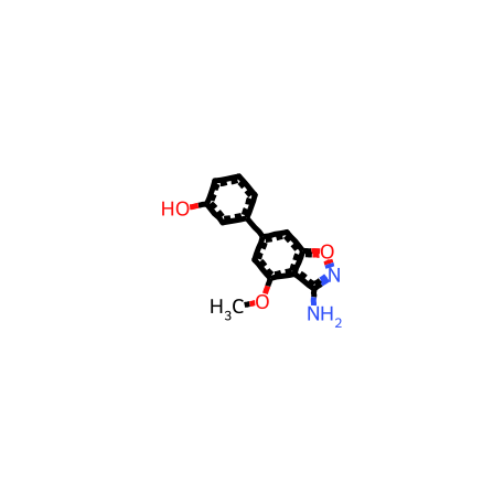 COc1cc(-c2cccc(O)c2)cc2onc(N)c12